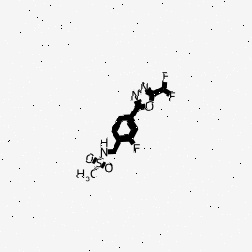 CS(=O)(=O)NCc1ccc(-c2nnc(C(F)F)o2)cc1F